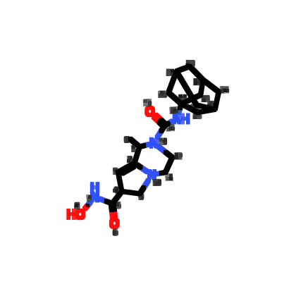 CC1C2=CC(C(=O)NO)CN2CCN1C(=O)NC12CC3CC(CC(C3)C1)C2